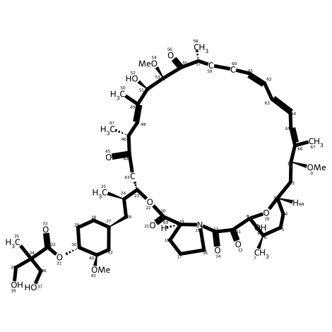 CO[C@H]1C[C@@H]2CC[C@@H](C)[C@@](O)(O2)C(=O)C(=O)N2CCC[C@H]2C(=O)O[C@H]([C@H](C)C[C@@H]2CC[C@@H](OC(=O)C(C)(CO)CO)[C@H](OC)C2)CC(=O)[C@H](C)/C=C(\C)[C@@H](O)[C@@H](OC)C(=O)[C@H](C)CC/C=C/C=C/C=C/1C